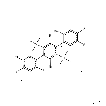 C[Si](C)(C)c1c(Br)c(-c2cc(F)c(F)cc2Br)c([Si](C)(C)C)c(Br)c1-c1cc(F)c(F)cc1Br